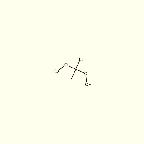 CCC(C)(OO)OO